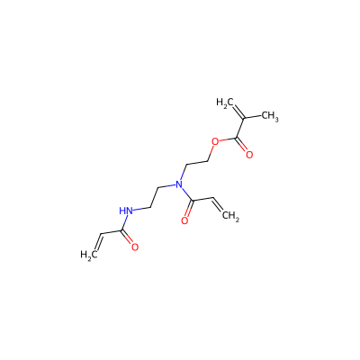 C=CC(=O)NCCN(CCOC(=O)C(=C)C)C(=O)C=C